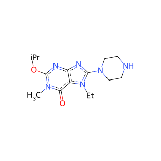 CCn1c(N2CCNCC2)nc2nc(OC(C)C)n(C)c(=O)c21